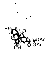 CC(=O)OC(OC(C)=O)OC(=O)c1ccc2c(c1)C(=O)OC21c2ccc(O)cc2Oc2cc(O)ccc21